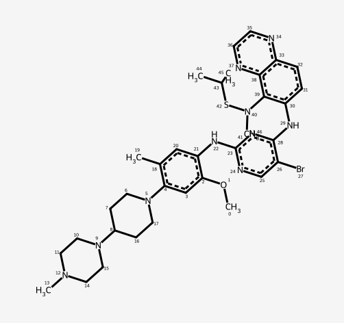 COc1cc(N2CCC(N3CCN(C)CC3)CC2)c(C)cc1Nc1ncc(Br)c(Nc2ccc3nccnc3c2N(C)SC(C)C)n1